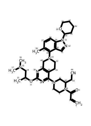 C=CC(=O)N1CCN(c2nc(OC(C)CN(C)C)nc3c2CCN(c2c(C)ccc4c2cnn4C2CCCCO2)C3)CC1CC#N